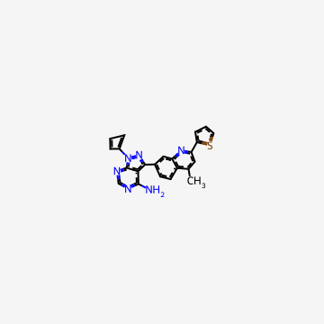 Cc1cc(-c2cccs2)nc2cc(-c3nn(C4=CC=C4)c4ncnc(N)c34)ccc12